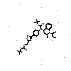 CCC(=O)N1c2ccccc2[C@H](N(C(=O)OC(C)(C)C)c2ccc(-c3nc(CNC(=O)OC(C)(C)C)no3)cc2)C[C@@H]1C